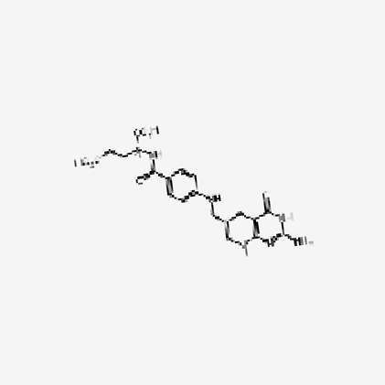 Nc1nc2c(c(=O)[nH]1)CC(CNc1ccc(C(=O)N[C@@H](CCC(=O)O)C(=O)O)cc1)CN2